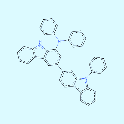 c1ccc(N(c2ccccc2)c2cc(-c3ccc4c5ccccc5n(-c5ccccc5)c4c3)cc3c2[nH]c2ccccc23)cc1